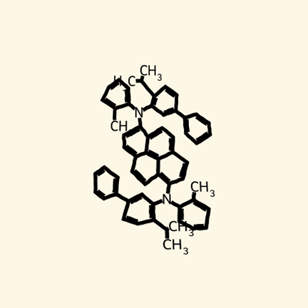 Cc1ccccc1N(c1cc(-c2ccccc2)ccc1C(C)C)c1ccc2ccc3c(N(c4ccccc4C)c4cc(-c5ccccc5)ccc4C(C)C)ccc4ccc1c2c43